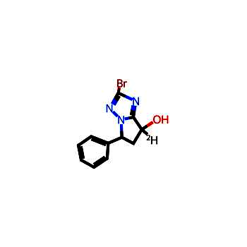 [2H]C1(O)CC(c2ccccc2)n2nc(Br)nc21